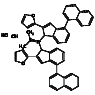 C[Si](C)=[Zr]([CH]1C(c2ccco2)=Cc2c(-c3cccc4ccccc34)cccc21)[CH]1C(c2ccco2)=Cc2c(-c3cccc4ccccc34)cccc21.Cl.Cl